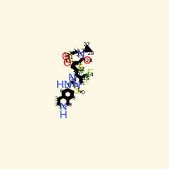 CSc1cc2c(cc1Nc1ncc(C(F)(F)F)c(-c3cc4c(s3)C(=O)N(C3CC3)CCS4(=O)=O)n1)CCNC2